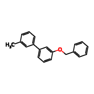 Cc1cccc(-c2cccc(OCc3ccccc3)c2)c1